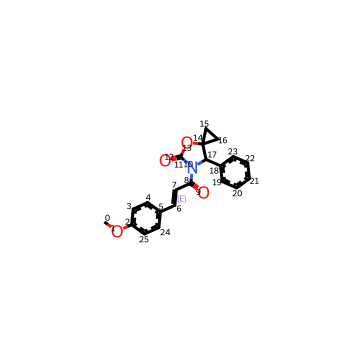 COc1ccc(/C=C/C(=O)N2C(=O)OC3(CC3)C2c2ccccc2)cc1